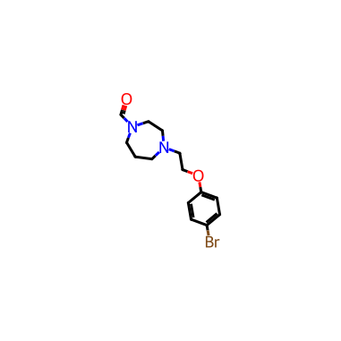 O=CN1CCCN(CCOc2ccc(Br)cc2)CC1